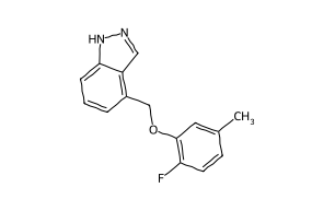 Cc1ccc(F)c(OCc2cccc3[nH]ncc23)c1